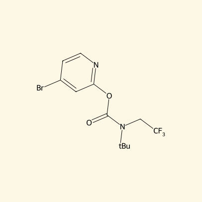 CC(C)(C)N(CC(F)(F)F)C(=O)Oc1cc(Br)ccn1